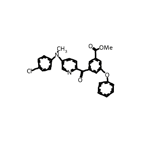 COC(=O)c1cc(Oc2ccccc2)cc(C(=O)c2ccc(N(C)c3ccc(Cl)cc3)cn2)c1